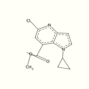 COC(=O)c1cc(Cl)nc2ccn(C3CC3)c12